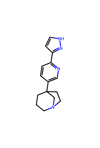 c1cc(-c2ccc(C34CCCN(CC3)C4)cn2)n[nH]1